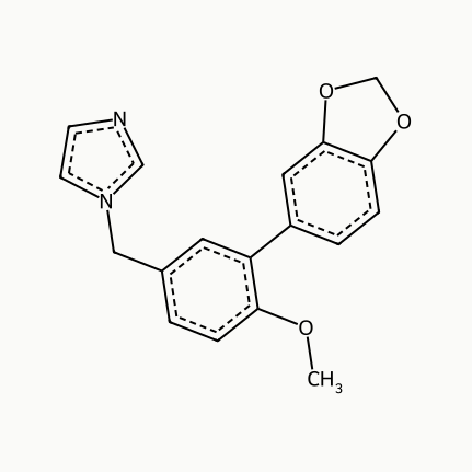 COc1ccc(Cn2ccnc2)cc1-c1ccc2c(c1)OCO2